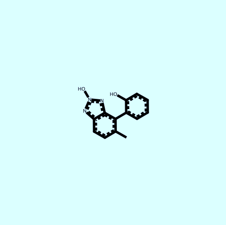 Cc1ccc2nn(O)nc2c1-c1ccccc1O